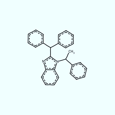 CC(c1ccccc1)n1c(C(c2ccccc2)c2ccccc2)nc2ccccc21